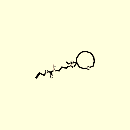 C=CCOC(=O)NCCC[Si](C)(C)OC1(C)CCCCCCCCCCC1